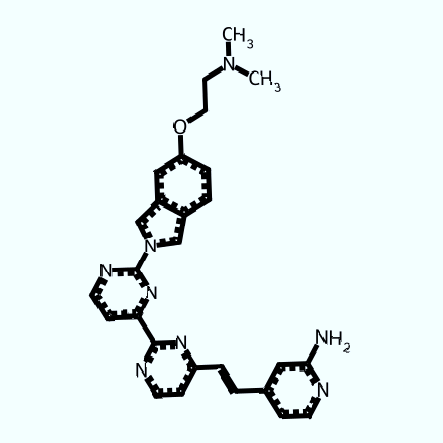 CN(C)CCOc1ccc2cn(-c3nccc(-c4nccc(/C=C/c5ccnc(N)c5)n4)n3)cc2c1